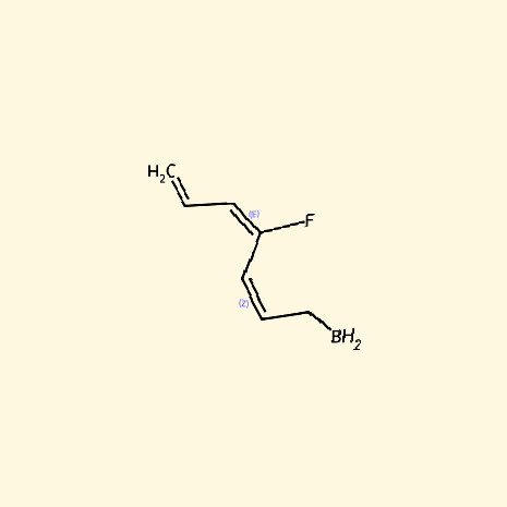 BC/C=C\C(F)=C/C=C